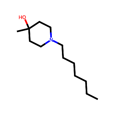 CCCCCCCN1CCC(C)(O)CC1